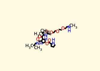 CNCCOCCOCCOCC(=O)NC(C(=O)C1CC(OC(=O)C2CCCN2)CC1C(=O)NCC(C)C)C(C)(C)C